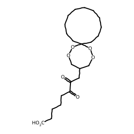 O=C(O)CCCCC(=O)C(=O)CC1COOC2(CCCCCCCCCCC2)OOC1